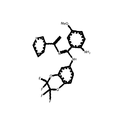 C=C(/N=C(/Nc1ccc2c(c1)OC(F)(F)C(F)(F)O2)c1cc(OC)ccc1N)c1cccnc1